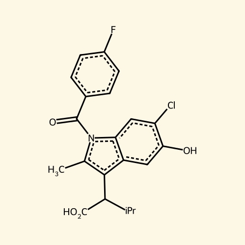 Cc1c(C(C(=O)O)C(C)C)c2cc(O)c(Cl)cc2n1C(=O)c1ccc(F)cc1